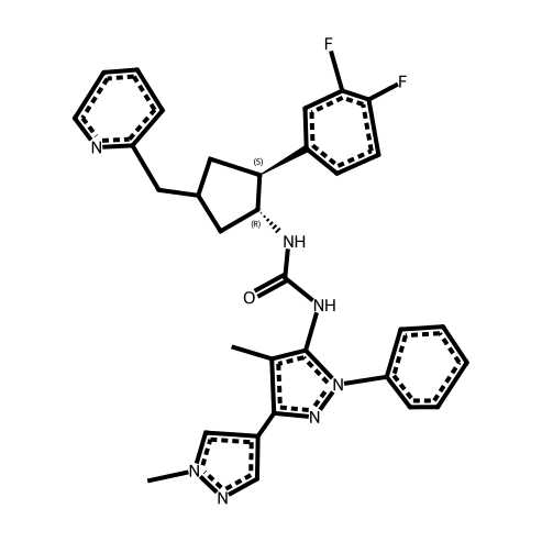 Cc1c(-c2cnn(C)c2)nn(-c2ccccc2)c1NC(=O)N[C@@H]1CC(Cc2ccccn2)C[C@H]1c1ccc(F)c(F)c1